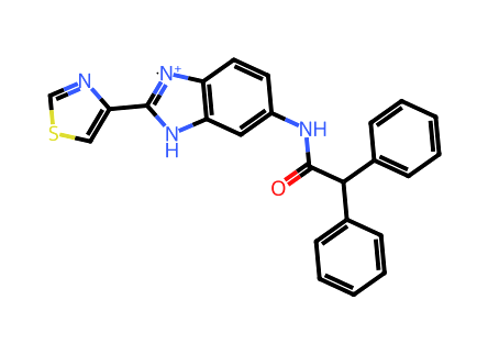 O=C(Nc1ccc2c(c1)NC(c1cscn1)=[N+]2)C(c1ccccc1)c1ccccc1